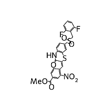 COC(=O)c1ccc(C=C2Sc3cc(S(=O)(=O)Cc4c(F)cccc4F)ccc3NC2=O)c([N+](=O)[O-])c1